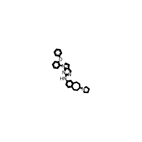 c1ccc(Oc2ccccc2-n2ccc3cnc(Nc4ccc5c(c4)CCC(N4CCCC4)CC5)nc32)cc1